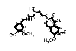 COc1ccc(CNCCN(C)CCCN2CCc3cc(OC)c(OC)cc3C(=O)C2=O)cc1OC